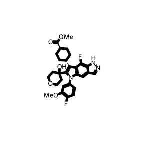 COc1cc(-n2c(C3(O)CCOCC3)c([C@H]3CC[C@H](C(=O)OC)CC3)c3c(F)c4[nH]ncc4cc32)ccc1F